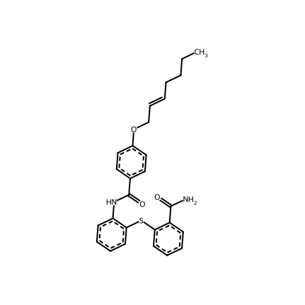 CCCCC=CCOc1ccc(C(=O)Nc2ccccc2Sc2ccccc2C(N)=O)cc1